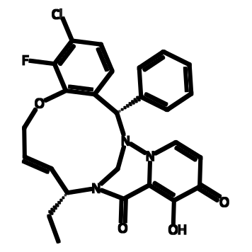 CC[C@@H]1/C=C/COc2c(ccc(Cl)c2F)[C@H](c2ccccc2)N2CN1C(=O)c1c(O)c(=O)ccn12